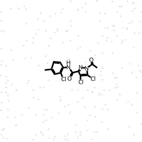 CC(=O)n1nc(C(=O)Nc2ccc(C)cc2Cl)c(Cl)c1Cl